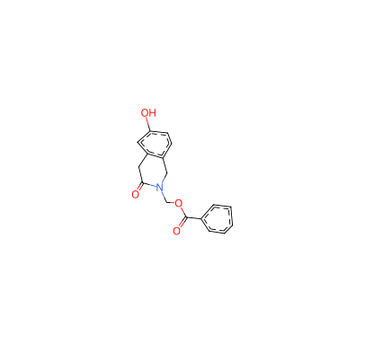 O=C(OCN1Cc2ccc(O)cc2CC1=O)c1ccccc1